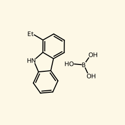 CCc1cccc2c1[nH]c1ccccc12.OB(O)O